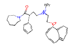 CCCN(CCOc1cccc2ccccc12)CCC(C(=O)N1CCCCCC1)c1ccccc1